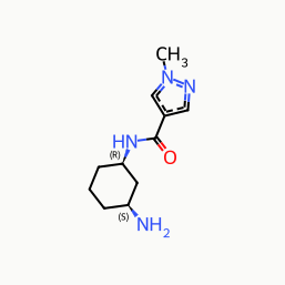 Cn1cc(C(=O)N[C@@H]2CCC[C@H](N)C2)cn1